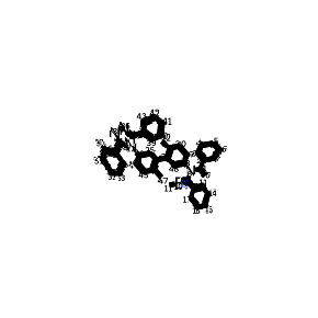 C=C(c1ccccc1)N(/C(=B\C)c1ccccc1)c1ccc(C)c(-c2cc(-n3c(-c4ccccc4)nnc3-c3ccccc3)ccc2C)c1